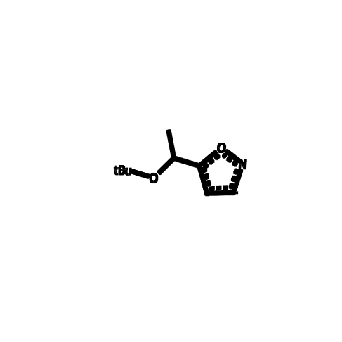 CC(OC(C)(C)C)c1c[c]no1